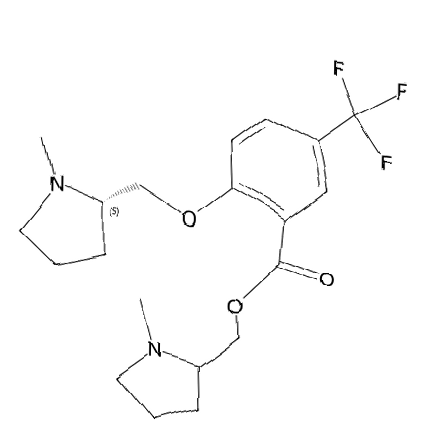 CN1CCCC1COC(=O)c1cc(C(F)(F)F)ccc1OC[C@@H]1CCCN1C